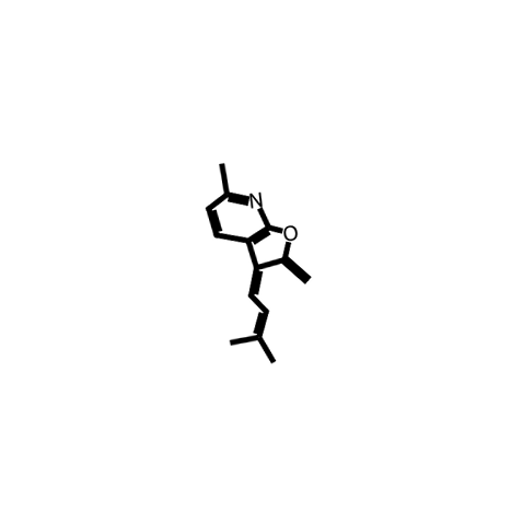 C=c1oc2nc(C)ccc2/c1=C/C=C(C)C